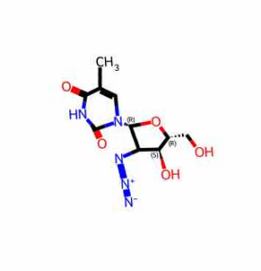 Cc1cn([C@@H]2O[C@H](CO)[C@@H](O)C2N=[N+]=[N-])c(=O)[nH]c1=O